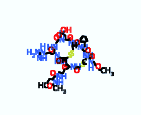 C#CCC(NC(C)=O)C(=O)NCCCC[C@@H]1NC(=O)CSC[C@@H](C(=O)NCCOCC)NC(=O)[C@H](Cc2ccccc2)NC(=O)[C@@H]2CSSC[C@H](NC1=O)C(=O)N[C@@H](CCCNC(=N)N)C(=O)NCC(=O)N[C@@H](CC(=O)O)C(=O)N2